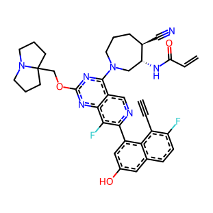 C#Cc1c(F)ccc2cc(O)cc(-c3ncc4c(N5CCC[C@@H](C#N)[C@H](NC(=O)C=C)C5)nc(OCC56CCCN5CCC6)nc4c3F)c12